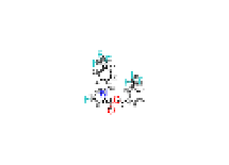 O=C(OCc1cccc(C(F)(F)F)c1)[C@H]1C[C@H](F)CN1Cc1ccc(C(F)(F)F)cc1